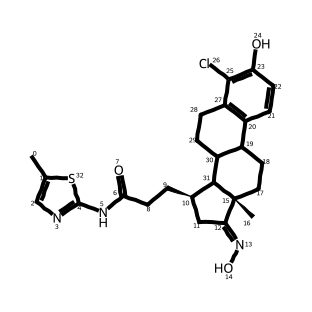 Cc1cnc(NC(=O)CC[C@@H]2CC(=NO)[C@@]3(C)CCC4c5ccc(O)c(Cl)c5CCC4C23)s1